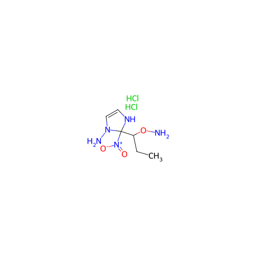 CCC(ON)C1([N+](=O)[O-])NC=CN1N.Cl.Cl